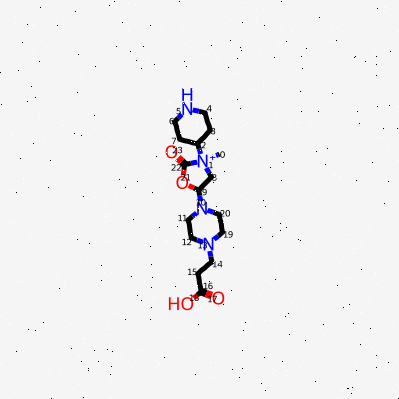 C[N+]1(C2CCNCC2)CC(N2CCN(CCC(=O)O)CC2)OC1=O